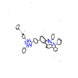 c1ccc(-c2ccc(-c3nc(-c4ccccc4)nc(-c4ccc(-c5ccc6c(c5)c5ccc7c8ccccc8c(-c8ccccc8)nc7c5n6-c5ccccc5)cc4)n3)cc2)cc1